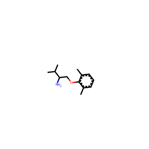 Cc1cccc(C)c1OCC(N)C(C)C